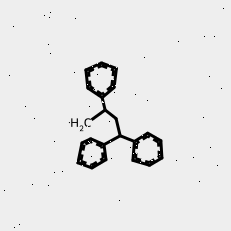 [CH2]C(CC(c1ccccc1)c1ccccc1)c1ccccc1